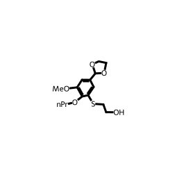 CCCOc1c(OC)cc(C2OCCO2)cc1SCCO